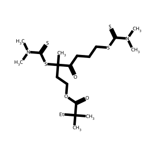 CCC(C)(C)C(=O)OCCC(C)(SC(=S)N(C)C)C(=O)CCCSC(=S)N(C)C